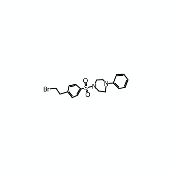 O=S(=O)(c1ccc(CCBr)cc1)N1CCN(c2ccccc2)CC1